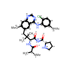 CN[C@@H](C)C(=O)N[C@H](C(=O)NC(=O)[C@@H]1CCCN1)C(C)(C)Cc1cc2c(Nc3cc(NC(C)=O)ccc3Cl)ncnc2cc1OC